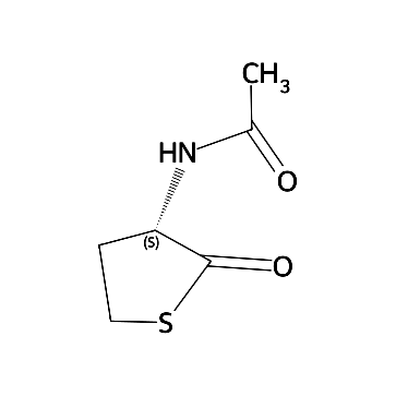 CC(=O)N[C@H]1CCSC1=O